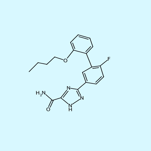 CCCCOc1ccccc1-c1cc(-c2n[nH]c(C(N)=O)n2)ccc1F